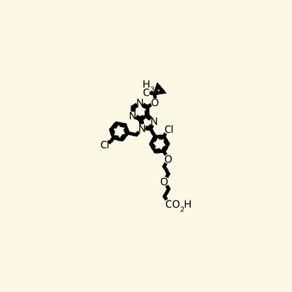 CC1(Oc2ncnc3c2nc(-c2ccc(OCCOCCC(=O)O)cc2Cl)n3Cc2cccc(Cl)c2)CC1